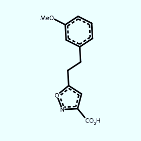 COc1cccc(CCc2cc(C(=O)O)no2)c1